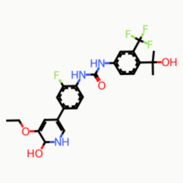 CCOC1=CC(c2ccc(NC(=O)Nc3ccc(C(C)(C)O)c(C(F)(F)F)c3)c(F)c2)=CNC1O